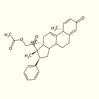 CC(=O)OCC(=O)[C@@]1(C)[C@H](c2ccccc2)CC2C3CCC4=CC(=O)C=C[C@]4(C)C3=CC[C@@]21C